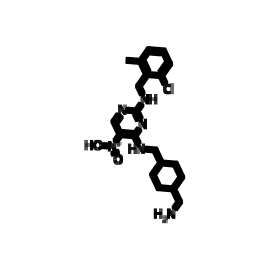 Cc1cccc(Cl)c1CNc1ncc([N+](=O)O)c(NCC2CCC(CN)CC2)n1